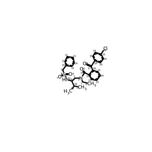 CCN(CC(NS(=O)(=O)Cc1ccccc1)C(C)C)C(=O)c1ccccc1C(=O)c1ccc(Cl)cc1